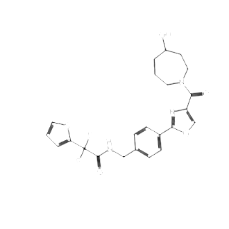 O=C(c1coc(-c2ccc(CNC(=O)C(F)(F)c3cccs3)cc2)n1)N1CCCC(O)CC1